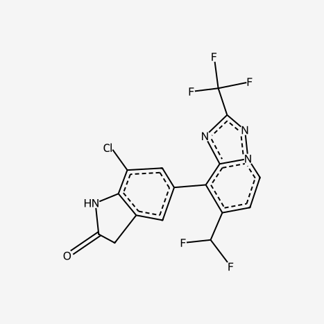 O=C1Cc2cc(-c3c(C(F)F)ccn4nc(C(F)(F)F)nc34)cc(Cl)c2N1